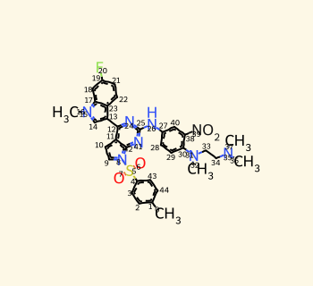 Cc1ccc(S(=O)(=O)n2ccc3c(-c4cn(C)c5cc(F)ccc45)nc(Nc4ccc(N(C)CCN(C)C)c([N+](=O)[O-])c4)nc32)cc1